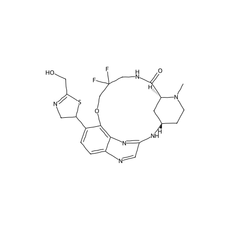 CN1CC[C@H]2C[C@H]1C(=O)NCC(F)(F)COc1c(C3CN=C(CO)S3)ccc3ncc(nc13)N2